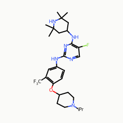 CC(C)N1CCC(Oc2ccc(Nc3ncc(F)c(NC4CC(C)(C)NC(C)(C)C4)n3)cc2C(F)(F)F)CC1